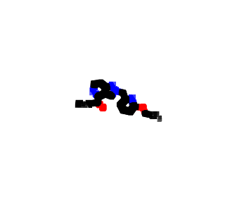 CNC(=O)c1nccc2nn(Cc3cccc(OCC(F)(F)F)n3)cc12